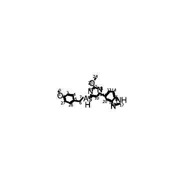 COc1ccc(CC[AsH]c2cc(-c3ccc4[nH]cnc4c3)nc(OC)n2)cc1